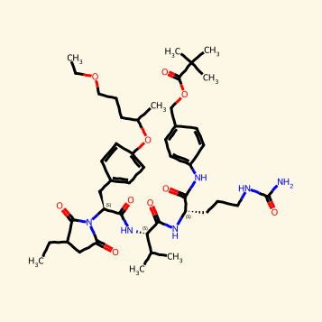 CCOCCCC(C)Oc1ccc(C[C@@H](C(=O)N[C@H](C(=O)N[C@@H](CCCNC(N)=O)C(=O)Nc2ccc(COC(=O)C(C)(C)C)cc2)C(C)C)N2C(=O)CC(CC)C2=O)cc1